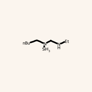 CCCCCN([SiH3])CNCC